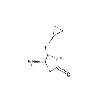 N[C@@H]1CC(=O)N[C@@H]1CC1CC1